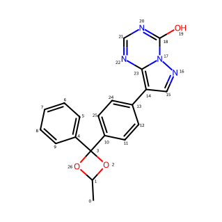 CC1OC(c2ccccc2)(c2ccc(-c3cnn4c(O)ncnc34)cc2)O1